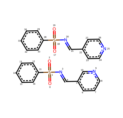 O=S(=O)(N=Cc1cccnc1)c1ccccc1.O=S(=O)(N=Cc1ccncc1)c1ccccc1